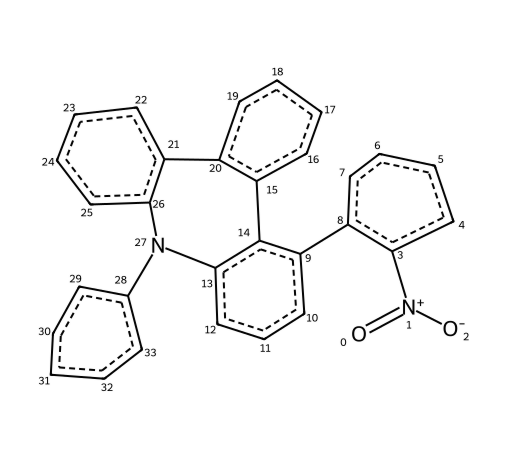 O=[N+]([O-])c1ccccc1-c1cccc2c1-c1ccccc1-c1ccccc1N2c1ccccc1